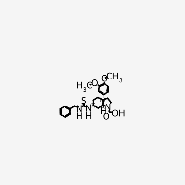 COc1ccc([C@@]23CC[C@@H](NC(=S)NCc4ccccc4)C[C@@H]2N(C(=O)O)CC3)cc1OC